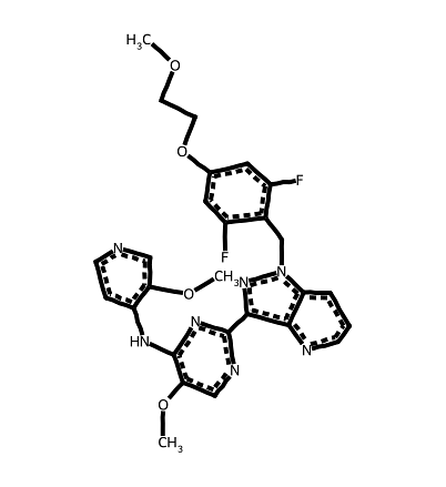 COCCOc1cc(F)c(Cn2nc(-c3ncc(OC)c(Nc4ccncc4OC)n3)c3ncccc32)c(F)c1